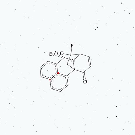 CCOC(=O)C1(F)CC2(c3ccccc3)C(=O)C=CC1N2Cc1ccccc1